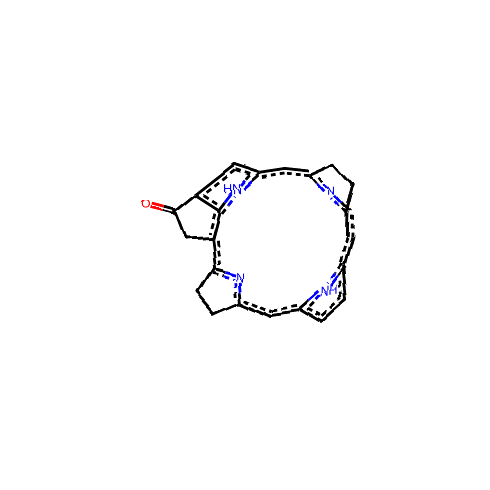 O=C1Cc2c3nc(cc4ccc(cc5nc(cc6cc1c2[nH]6)CC5)[nH]4)CC3